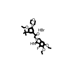 Br.CCOc1cc2c(c(F)c1OCC)C(=N)N(CC(=O)c1cc(N3CCOCC3)c(OCC)c(C(C)(C)C)c1)C2